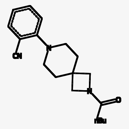 CCCCC(=O)N1CC2(CCN(c3ccccc3C#N)CC2)C1